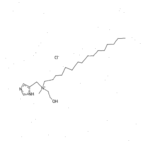 CCCCCCCCCCCCCCCC[N+](C)(CCO)Cc1cnc[nH]1.[Cl-]